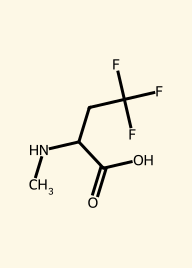 CNC(CC(F)(F)F)C(=O)O